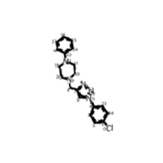 Clc1ccc(-n2cc(CN3CCN(c4ccccc4)CC3)nn2)cc1